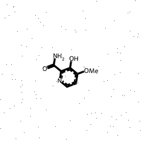 COc1ccnc(C(N)=O)c1O